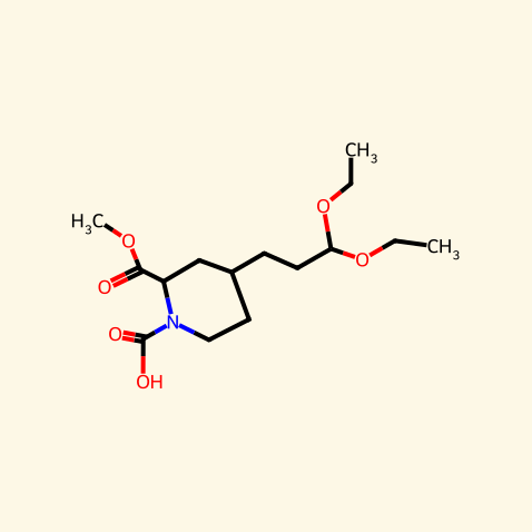 CCOC(CCC1CCN(C(=O)O)C(C(=O)OC)C1)OCC